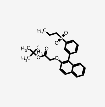 CCCS(=O)(=O)c1cccc(-c2c(OCC(=O)OC(C)(C)C)ccc3ccccc23)c1